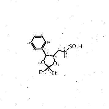 CCC1(CC)OC(CNS(=O)(=O)O)C(c2ccccc2)O1